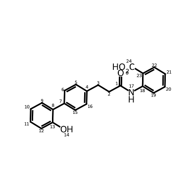 O=C(CCc1ccc(-c2ccccc2O)cc1)Nc1ccccc1C(=O)O